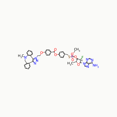 CCO[P@@](=O)(O[C@@H]1C(C)O[C@@H](n2cnc3c(N)ncnc32)[C@@H]1F)SCc1ccc(OC(=O)c2ccc(OCCn3nnc4c3-c3ccccc3N(C)Cc3ccccc3-4)cc2)cc1